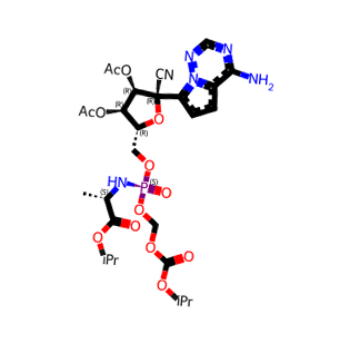 CC(=O)O[C@H]1[C@@H](OC(C)=O)[C@](C#N)(c2ccc3c(N)ncnn23)O[C@@H]1CO[P@@](=O)(N[C@@H](C)C(=O)OC(C)C)OCOC(=O)OC(C)C